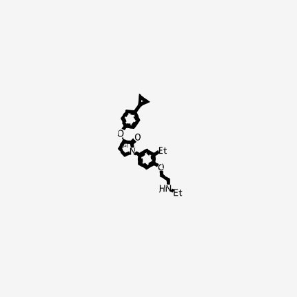 CCNCCOc1ccc(N2CC[C@H](Oc3ccc(C4CC4)cc3)C2=O)cc1CC